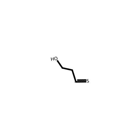 OCC[C]=S